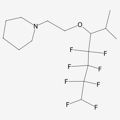 CC(C)C(OCCN1CCCCC1)C(F)(F)C(F)(F)C(F)(F)C(F)F